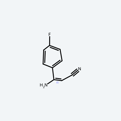 N#C/C=C(/N)c1ccc(F)cc1